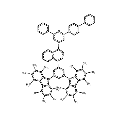 Bc1c(B)c(B)c2c(c1B)c1c(B)c(B)c(B)c(B)c1n2-c1cc(-c2ccc(-c3cc(-c4ccc(-c5ccccc5)cc4)nc(-c4ccccc4)n3)c3ccccc23)cc(-n2c3c(B)c(B)c(B)c(B)c3c3c(B)c(B)c(B)c(B)c32)c1